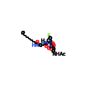 CC(=O)Nc1ccc2c(c1)CC[C@@]21OC(=O)N(CC(=O)N(Cc2ccc(F)cc2)[C@@H](C)CNC(=O)CCc2ccc(NC(=O)CCCCCCCCCCCc3ccccc3)cc2)C1=O